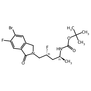 C[C@@H](C[C@@H](F)CN1Cc2cc(Br)c(F)cc2C1=O)NC(=O)OC(C)(C)C